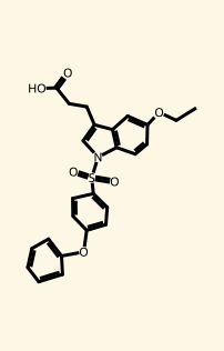 CCOc1ccc2c(c1)c(CCC(=O)O)cn2S(=O)(=O)c1ccc(Oc2ccccc2)cc1